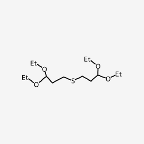 CCOC(CCSCCC(OCC)OCC)OCC